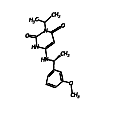 COc1cccc([C@H](C)Nc2cc(=O)n(C(C)C)c(=O)[nH]2)c1